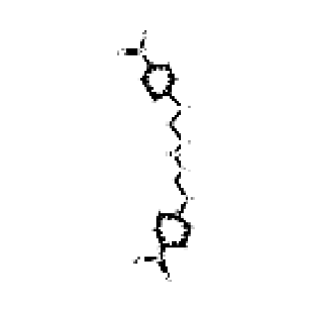 O=[N+]([O-])c1ccc(SCOPOCSc2ccc([N+](=O)[O-])cc2)cc1